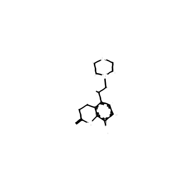 O=C1CCc2c(C(O)CN3CCNCC3)ccc(O)c2N1